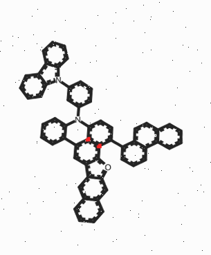 c1cc(N(c2ccc(-c3cccc4c3ccc3ccccc34)cc2)c2ccccc2-c2ccc3oc4cc5ccccc5cc4c3c2)cc(-n2c3ccccc3c3ccccc32)c1